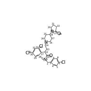 CN(Cc1ccc(Cl)cc1)C(=O)C(CCN1CCC(N2CCCC2=O)CC1)c1ccc(Cl)cc1Cl